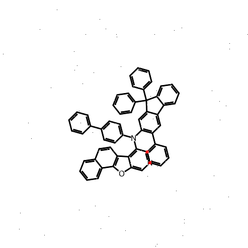 c1ccc(-c2ccc(N(c3cc4c(cc3-c3ccccc3)-c3ccccc3C4(c3ccccc3)c3ccccc3)c3cncc4oc5c6ccccc6ccc5c34)cc2)cc1